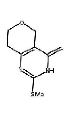 C=C1NC(SC)=NC2=C1COCC2